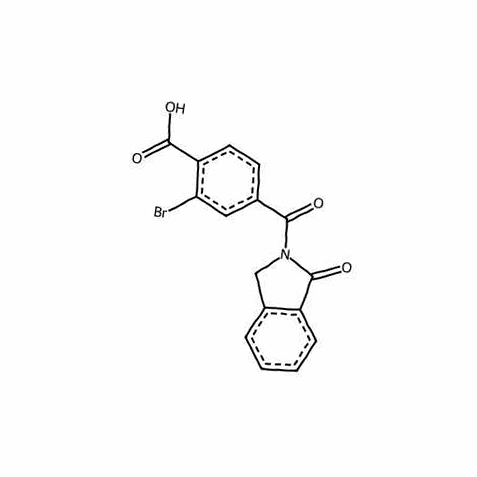 O=C(O)c1ccc(C(=O)N2Cc3ccccc3C2=O)cc1Br